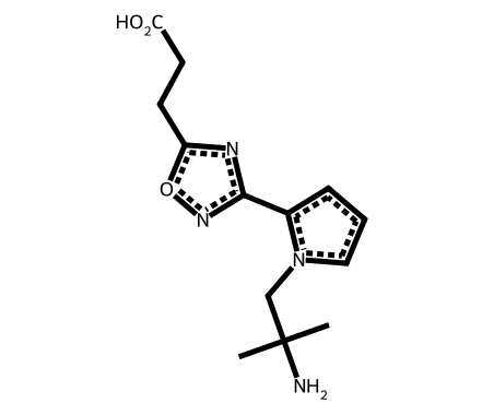 CC(C)(N)Cn1cccc1-c1noc(CCC(=O)O)n1